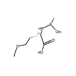 COCC[C@H](NB(C)O)C(=O)O